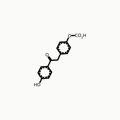 O=C(O)Oc1ccc(CC(=O)c2ccc(O)cc2)cc1